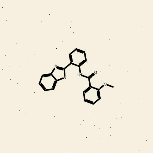 COc1ccccc1C(=O)Nc1ccccc1-c1nc2ccccc2s1